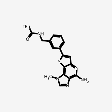 Cn1cnc2c(N)nc3cc(-c4cccc(CNC(=O)C(C)(C)C)c4)sc3c21